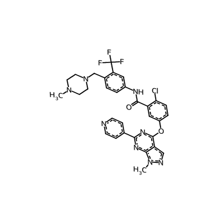 CN1CCN(Cc2ccc(NC(=O)c3cc(Oc4nc(-c5ccncc5)nc5c4cnn5C)ccc3Cl)cc2C(F)(F)F)CC1